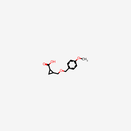 COc1ccc(COCC2CC2C(=O)O)cc1